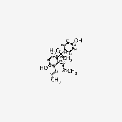 CC=Cc1c(O)ccc(C(C)(C)c2ccc(O)cc2)c1C=CC